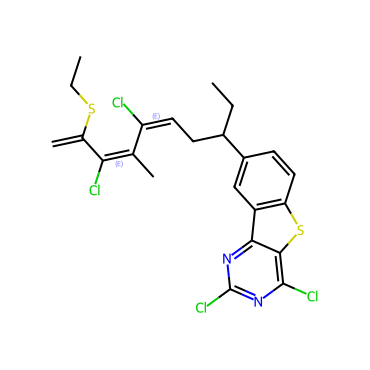 C=C(SCC)/C(Cl)=C(C)\C(Cl)=C/CC(CC)c1ccc2sc3c(Cl)nc(Cl)nc3c2c1